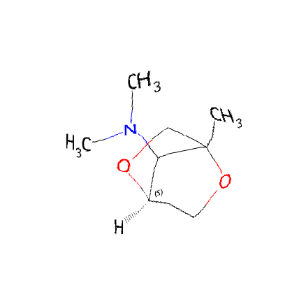 CN(C)C1[C@H]2COC1(C)CO2